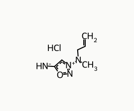 C=CCN(C)[n+]1cc([NH-])on1.Cl